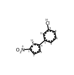 O=[N+]([O-])c1ccc(-c2cccc(Cl)c2)s1